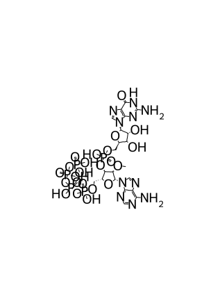 CO[C@@H]1[C@H](OP(=O)(O)OC[C@H]2O[C@@H](n3cnc4c(=O)[nH]c(N)nc43)[C@H](O)[C@@H]2O)[C@@H](COP(=O)(O)OP(=O)(O)OP(=O)(O)OP(=O)(O)O)O[C@H]1n1cnc2c(N)ncnc21